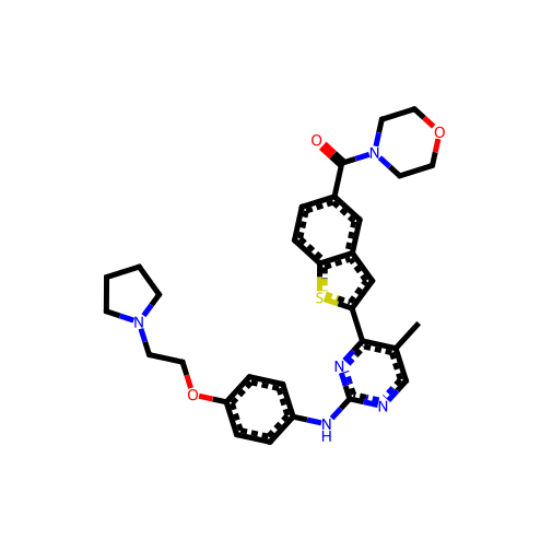 Cc1cnc(Nc2ccc(OCCN3CCCC3)cc2)nc1-c1cc2cc(C(=O)N3CCOCC3)ccc2s1